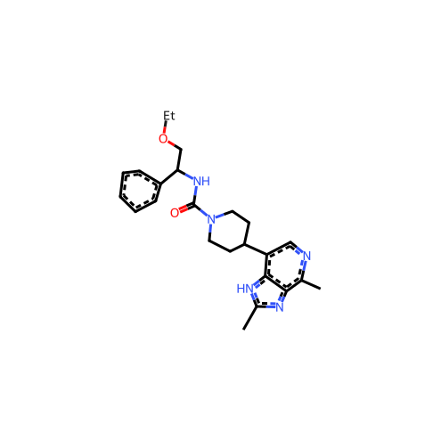 CCOCC(NC(=O)N1CCC(c2cnc(C)c3nc(C)[nH]c23)CC1)c1ccccc1